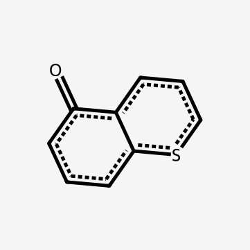 O=c1cccc2scccc1-2